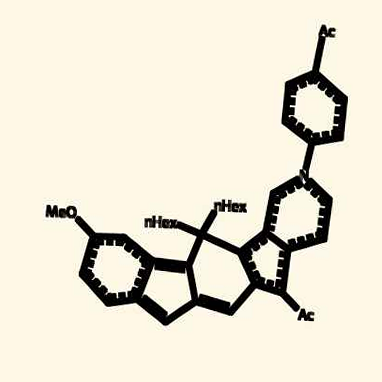 CCCCCCC1(CCCCCC)C2=c3cc(OC)ccc3=CC2=Cc2c(C(C)=O)c3ccn(-c4ccc(C(C)=O)cc4)cc-3c21